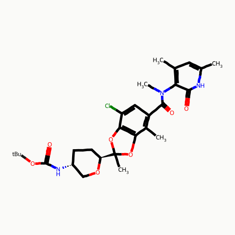 Cc1cc(C)c(N(C)C(=O)c2cc(Cl)c3c(c2C)OC(C)([C@@H]2CC[C@@H](NC(=O)OC(C)(C)C)CO2)O3)c(=O)[nH]1